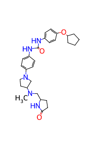 CN(CC1CCC(=O)N1)C1CCN(c2ccc(NC(=O)Nc3ccc(OC4CCCC4)cc3)cc2)C1